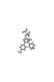 COc1ccc(-c2nc(SC(F)(F)C(F)F)[nH]c2-c2ccncc2)cc1